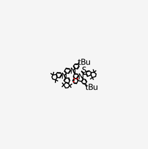 Cc1cc(N(c2ccc(C(C)(C)C)cc2)c2cccc(N(c3ccc4c(c3)C(C)(C)CCC4(C)C)c3ccc4c(c3)C(C)(C)CCC4(C)C)c2)cc(N(c2ccc(C(C)(C)C)cc2-c2ccccc2)c2csc3cc4c(cc23)C(C)(C)CCC4(C)C)c1